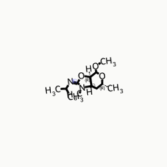 COC1O[C@H](C)C[C@H]2[C@H]1O/C(=N/C(C)C)N2C